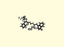 CC(C)(C)OC(=O)N(CCCC1C=C(OS(=O)(=O)C(F)(F)F)c2ccccc2O1)Cc1ccc(F)c2ccccc12